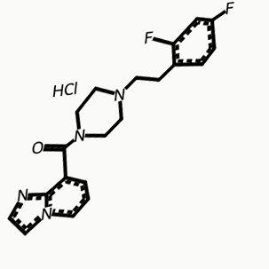 Cl.O=C(c1cccn2ccnc12)N1CCN(CCc2ccc(F)cc2F)CC1